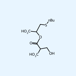 CCCCSCC(OC(=O)C(CO)C(=O)O)C(=O)O